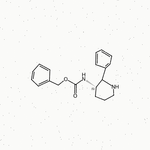 O=C(N[C@H]1CCCNC1c1ccccc1)OCc1ccccc1